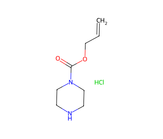 C=CCOC(=O)N1CCNCC1.Cl